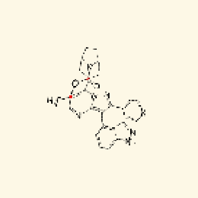 CCOC(=O)N1C2CCC1CC(c1ccnc3c(-c4cccc5[nH]ncc45)c(-c4ccncc4)nn13)C2